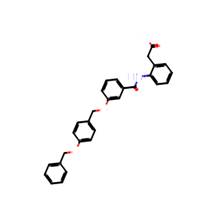 O=C(O)Cc1ccccc1NC(=O)c1cccc(OCc2ccc(OCc3ccccc3)cc2)c1